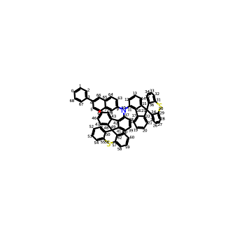 c1ccc(-c2ccc3cc(N(c4cccc5c4-c4ccccc4C54c5ccccc5Sc5ccccc54)c4cccc5c4-c4ccccc4C54c5ccccc5Sc5ccccc54)ccc3c2)cc1